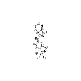 FC(F)(F)c1nsc2cc(Nc3n[nH]c4ncccc34)ccc12